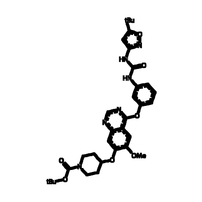 COc1cc2c(Oc3cccc(NC(=O)Nc4cc(C(C)(C)C)on4)c3)ncnc2cc1OC1CCN(C(=O)OC(C)(C)C)CC1